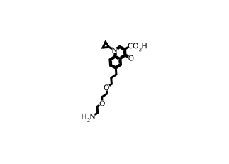 NCCOCCOCCCc1ccc2c(c1)c(=O)c(C(=O)O)cn2C1CC1